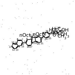 CCCCCCCCC1(CCCCCCCC)c2cc(-c3ccc4ccccc4c3)ccc2-c2ccc(-c3ccc(BOC(C)(C)C(C)(C)O)cn3)cc21